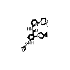 C[C@@H]1CN(c2cccc(NC(=O)c3ccc(NSC4COC4)cc3N3CCC4(CC3)CC4)n2)CCO1